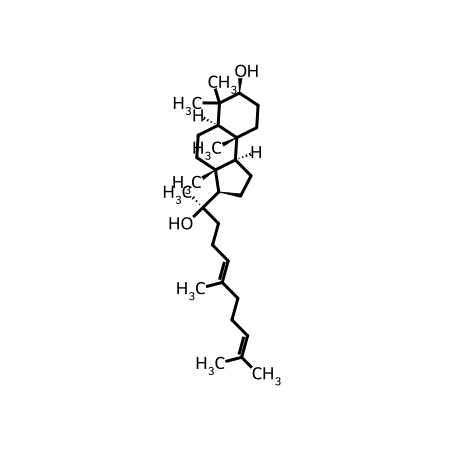 CC(C)=CCC/C(C)=C/CC[C@@](C)(O)[C@@H]1CC[C@H]2[C@@]1(C)CC[C@H]1C(C)(C)[C@@H](O)CC[C@]21C